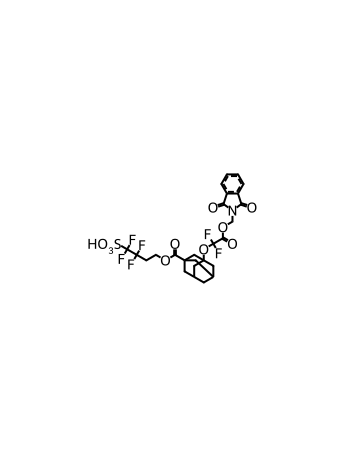 O=C1c2ccccc2C(=O)N1COC(=O)C(F)(F)OC12CC3CC(C1)CC(C(=O)OCCC(F)(F)C(F)(F)S(=O)(=O)O)(C3)C2